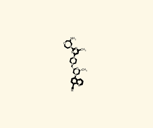 Cc1cc(N2CCN(C[C@H]3CN(c4ccc(C#N)c5ncccc45)C[C@@H](C)O3)CC2)nc(N2CCOCC(N)C2)n1